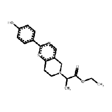 CCOC(=O)C(C)N1CCc2nc(-c3ccc(O)cc3)ncc2C1